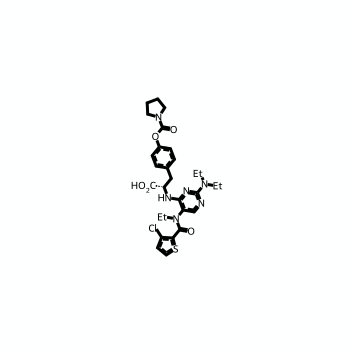 CCN(CC)c1ncc(N(CC)C(=O)c2sccc2Cl)c(N[C@@H](Cc2ccc(OC(=O)N3CCCC3)cc2)C(=O)O)n1